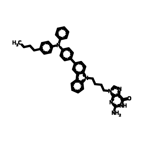 CCCCc1ccc(N(c2ccccc2)c2ccc(-c3ccc4c(c3)c3ccccc3n4CCCCn3cnc4c(=O)[nH]c(N)nc43)cc2)cc1